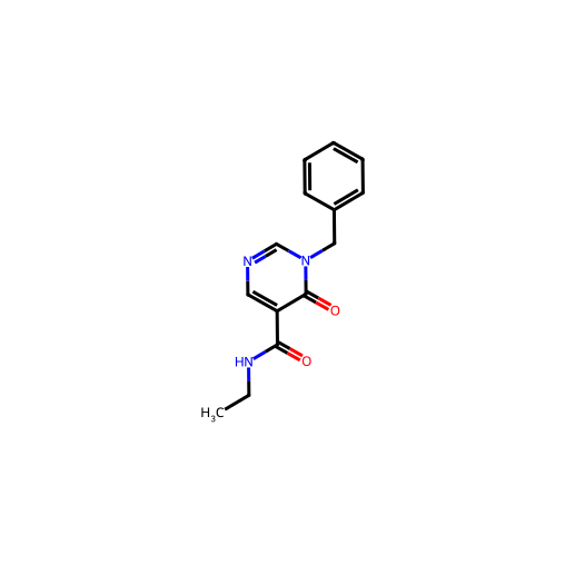 CCNC(=O)c1cncn(Cc2ccccc2)c1=O